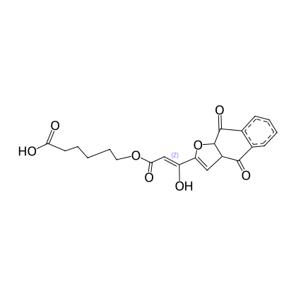 O=C(O)CCCCCOC(=O)/C=C(\O)C1=CC2C(=O)c3ccccc3C(=O)C2O1